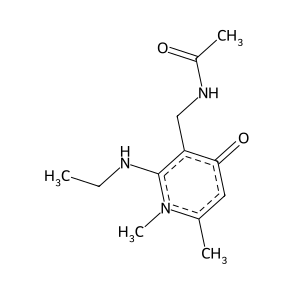 CCNc1c(CNC(C)=O)c(=O)cc(C)n1C